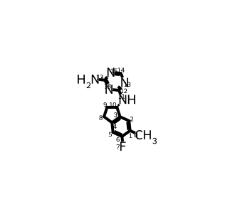 Cc1cc2c(cc1F)CC[C@H]2Nc1ncnc(N)n1